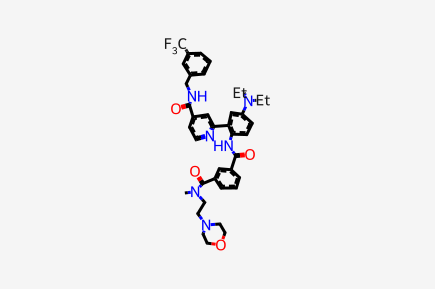 CCN(CC)c1ccc(NC(=O)c2cccc(C(=O)N(C)CCN3CCOCC3)c2)c(-c2cc(C(=O)NCc3cccc(C(F)(F)F)c3)ccn2)c1